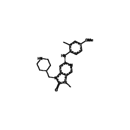 COc1ccc(Nc2cc3c(cn2)n(C)c(=O)n3CC2CCNCC2)c(C)c1